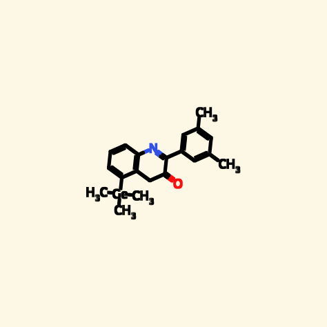 Cc1cc(C)cc(C2=Nc3ccc[c]([Ge]([CH3])([CH3])[CH3])c3CC2=O)c1